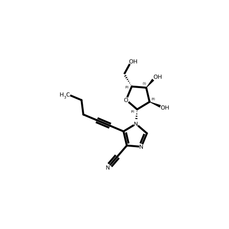 CCCC#Cc1c(C#N)ncn1[C@@H]1O[C@H](CO)[C@@H](O)[C@H]1O